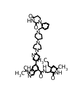 CCCc1cc(C)[nH]c(=O)c1CNC(=O)c1cc(-c2ccc(N3CCN(C4CCN(Cc5ccccc5N5CCC(=O)NC5=O)CC4)CC3)nc2)cc2c1cnn2C(C)C